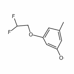 Cc1cc([O])cc(OCC(F)F)c1